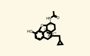 CC(=O)N[C@@H]1CC[C@@]2(C)C3Cc4ccc(O)c5c4[C@@]2(CCN3CC2CC2)C1O5